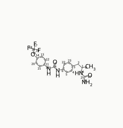 CC(Cc1ccc(NC(=O)Nc2ccc(OC(F)(F)F)cc2)cc1)NC(N)=O